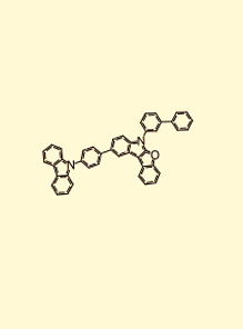 c1ccc(-c2cccc(-n3c4ccc(-c5ccc(-n6c7ccccc7c7ccccc76)cc5)cc4c4c5ccccc5oc43)c2)cc1